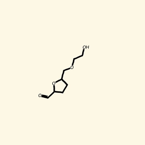 O=CC1CCC(COCCO)O1